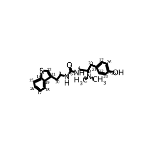 CN(C)C(CNC(=O)NCCc1csc2ccccc12)Cc1ccc(O)cc1